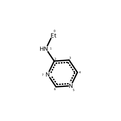 CCNc1ccncn1